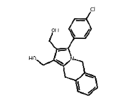 OCc1c(CO)c(-c2ccc(Cl)cc2)n2c1Cc1ccccc1C2